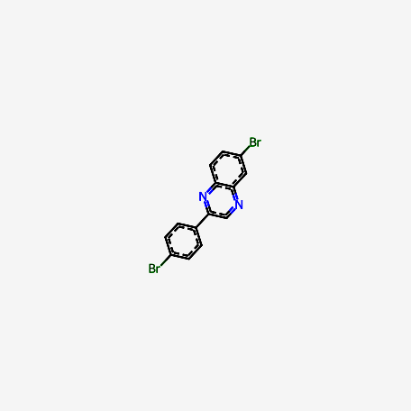 Brc1ccc(-c2cnc3cc(Br)ccc3n2)cc1